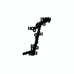 CCCCCCC(=O)N[C@@H](CCC(=O)NCCOCCOCC(=O)NCCCC[C@H](CC(=O)C(C)(C)NC(=O)[C@@H](N)Cc1cnc[nH]1)C(=O)CCC(=O)O)C(=O)O